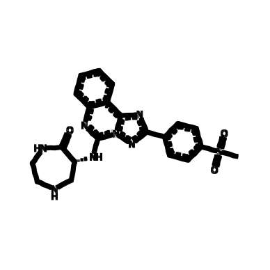 CS(=O)(=O)c1ccc(-c2nc3c4ccccc4nc(N[C@@H]4CNCCNC4=O)n3n2)cc1